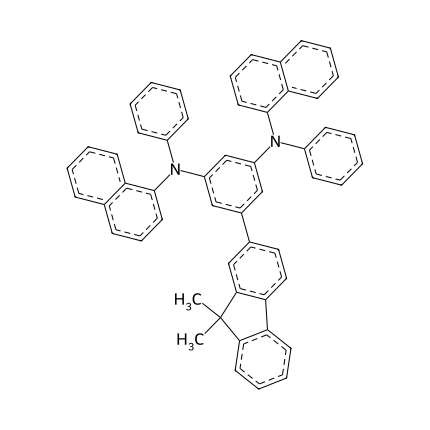 CC1(C)c2ccccc2-c2ccc(-c3cc(N(c4ccccc4)c4cccc5ccccc45)cc(N(c4ccccc4)c4cccc5ccccc45)c3)cc21